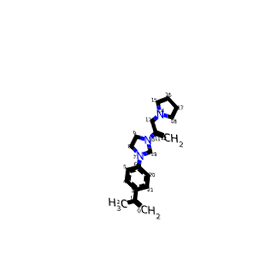 C=C(C)c1ccc(N2CCN(C(=C)CN3CCCC3)C2)cc1